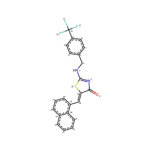 O=C1N=C(NCc2ccc(C(F)(F)F)cc2)SC1=Cc1cccc2ccccc12